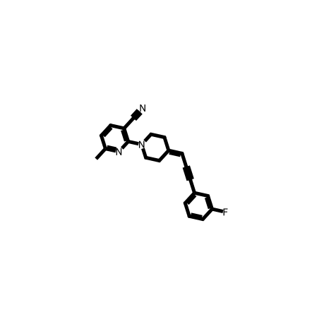 Cc1ccc(C#N)c(N2CCC(=CC#Cc3cccc(F)c3)CC2)n1